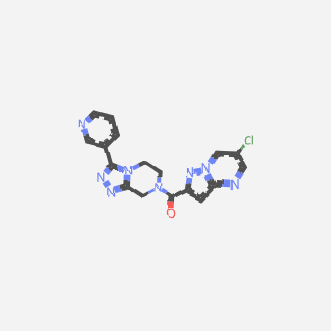 O=C(c1cc2ncc(Cl)cn2n1)N1CCn2c(nnc2-c2cccnc2)C1